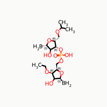 B[C@@H]1O[C@H](COP(=O)(O)O[C@@H]2C(O)[C@H](B)O[C@@H]2COC(C)C)[C@H](OCC)C1O